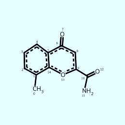 Cc1cccc2c(=O)cc(C(N)=O)oc12